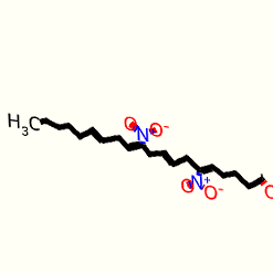 CCCCC/C=C/C/C=C(/C/C=C/C/C(=C/CCC[C]=O)[N+](=O)[O-])[N+](=O)[O-]